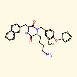 COc1cc(CN2C(=O)[C@H](Cc3ccc4ccccc4c3)NC(=O)[C@@H]2CCCCN)ccc1Oc1ccccc1